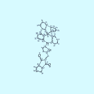 O=C1C(=Cc2ccc(N3c4ccccc4[Si]4(c5ccccc5-c5ccccc54)c4ccccc43)[se]2)C(=O)c2cscc21